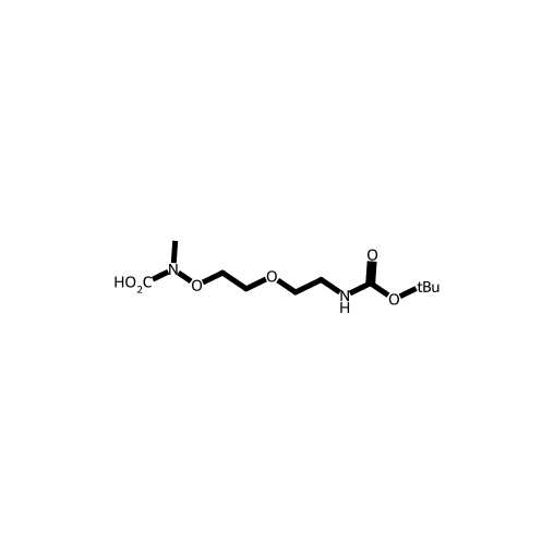 CN(OCCOCCNC(=O)OC(C)(C)C)C(=O)O